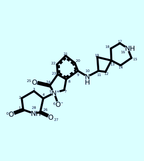 O=C1CCC([N+]2([O-])Cc3c(NC4CC5(CCNCC5)C4)cccc3C2=O)C(=O)N1